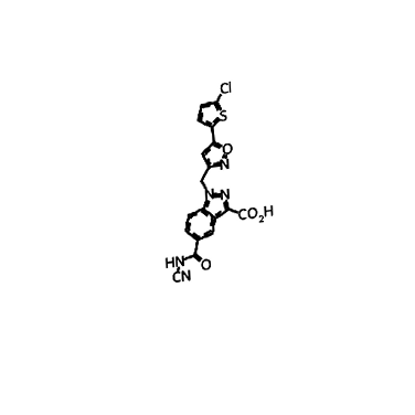 N#CNC(=O)c1ccc2c(c1)c(C(=O)O)nn2Cc1cc(-c2ccc(Cl)s2)on1